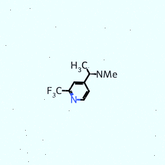 CN[C@H](C)c1ccnc(C(F)(F)F)c1